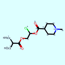 CCCCCCCCC(CCCCCC)C(=O)OCC(Cl)OC(=O)C1CCN(C)CC1